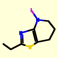 CCc1nc2c(s1)CCCN2I